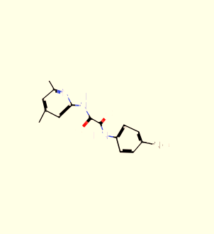 Cc1cc(C)nc(NC(=O)C(=O)Nc2ccc([N+](=O)[O-])cc2)c1